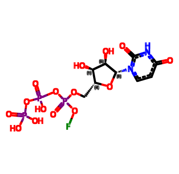 O=c1ccn([C@@H]2O[C@H](COP(=O)(OF)OP(=O)(O)OP(=O)(O)O)[C@@H](O)[C@H]2O)c(=O)[nH]1